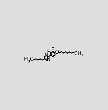 CCCCCCCCCOc1ccc(-c2ncc(CCCCCC)cn2)c(F)c1F